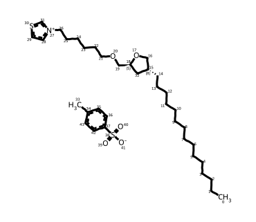 CCCCCCCCCCCCCCC[C@H]1CO[C@H](COCCCCCC[n+]2ccsc2)C1.Cc1ccc(S(=O)(=O)[O-])cc1